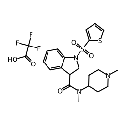 CN1CCC(N(C)C(=O)C2CN(S(=O)(=O)c3cccs3)c3ccccc32)CC1.O=C(O)C(F)(F)F